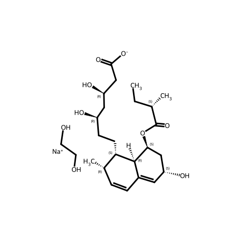 CC[C@H](C)C(=O)O[C@H]1C[C@H](O)C=C2C=C[C@H](C)[C@H](CC[C@@H](O)C[C@@H](O)CC(=O)[O-])[C@H]21.OCCO.[Na+]